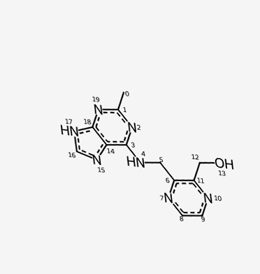 Cc1nc(NCc2nccnc2CO)c2nc[nH]c2n1